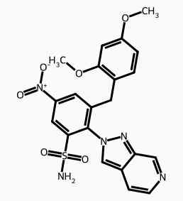 COc1ccc(Cc2cc([N+](=O)[O-])cc(S(N)(=O)=O)c2-n2cc3ccncc3n2)c(OC)c1